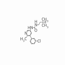 Cc1ncc(NC(=O)NCCC(C)(C)F)cc1-c1cccc(Cl)c1